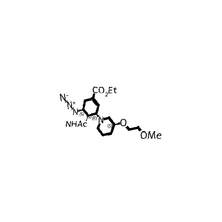 CCOC(=O)C1=C[C@@H](N2CCC[C@H](OCCOC)C2)[C@H](NC(C)=O)[C@@H](N=[N+]=[N-])C1